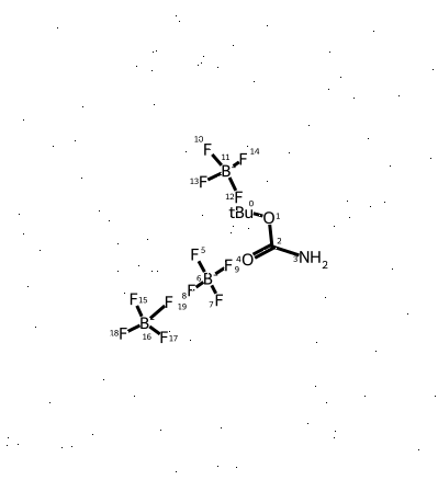 CC(C)(C)OC(N)=O.F[B-](F)(F)F.F[B-](F)(F)F.F[B-](F)(F)F